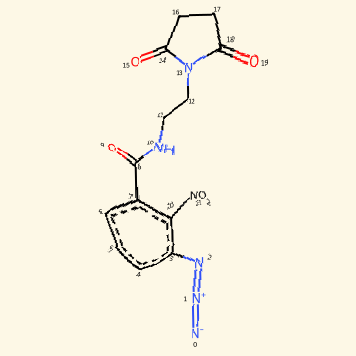 [N-]=[N+]=Nc1cccc(C(=O)NC[CH]N2C(=O)CCC2=O)c1[N+](=O)[O-]